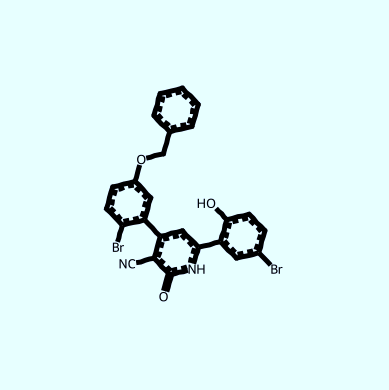 N#Cc1c(-c2cc(OCc3ccccc3)ccc2Br)cc(-c2cc(Br)ccc2O)[nH]c1=O